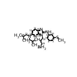 CSc1cccc(Nc2nc3ccc(N(CC(C)C)CC(C)C)nc3n2CCCN)c1